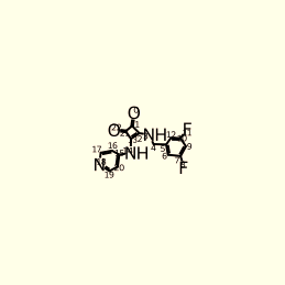 O=c1c(NCc2cc(F)cc(F)c2)c(Nc2ccncc2)c1=O